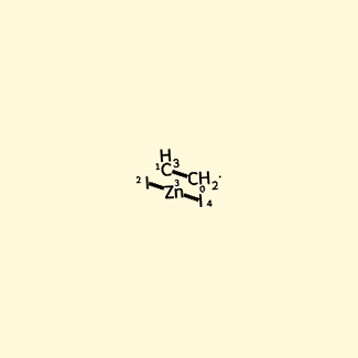 [CH2]C.[I][Zn][I]